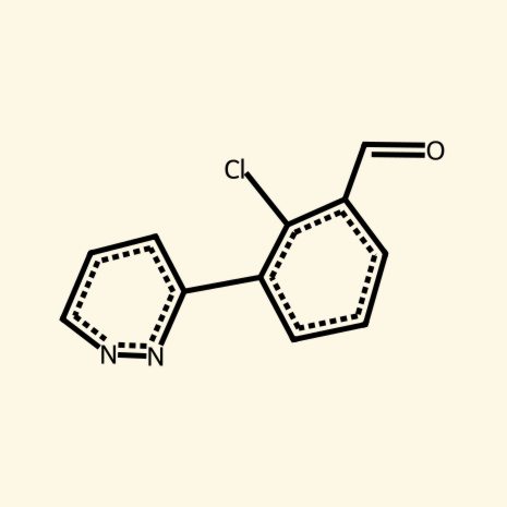 O=Cc1cccc(-c2cccnn2)c1Cl